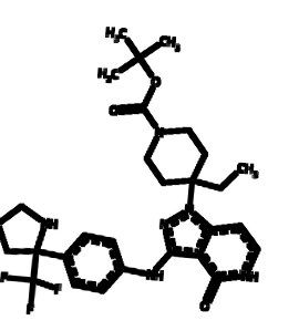 CCC1(n2nc(Nc3ccc(C4(C(F)(F)F)CCCN4)cc3)c3c(=O)[nH]ccc32)CCN(C(=O)OC(C)(C)C)CC1